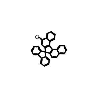 Clc1cc2c(c3ccccc13)-c1c(ccc3ccccc13)C21c2ccccc2-c2ccccc21